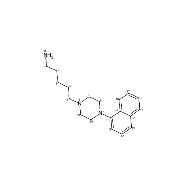 NCCCCCN1CCN(c2cccc3ccccc23)CC1